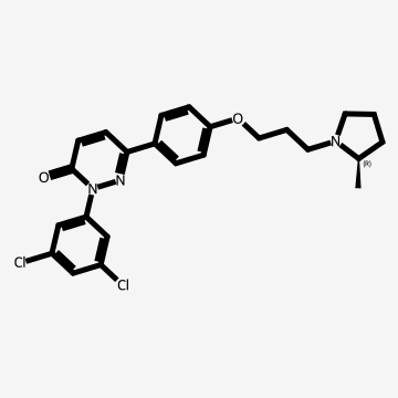 C[C@@H]1CCCN1CCCOc1ccc(-c2ccc(=O)n(-c3cc(Cl)cc(Cl)c3)n2)cc1